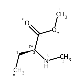 CC[C@H](NC)C(=O)OC